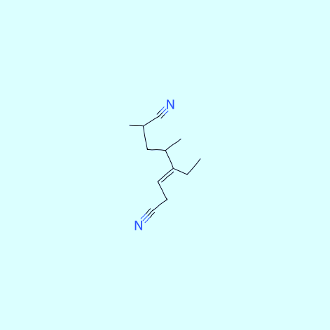 CC/C(=C\CC#N)C(C)CC(C)C#N